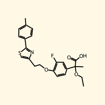 CCOC(C)(C(=O)O)c1ccc(OCCc2csc(-c3ccc(C)cc3)n2)c(F)c1